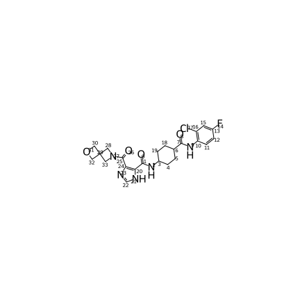 O=C(NC1CCC(C(=O)Nc2ccc(F)cc2Cl)CC1)c1[nH]cnc1C(=O)N1CC2(COC2)C1